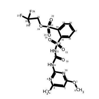 COc1cc(C)nc(NC(=O)NS(=O)(=O)c2ccccc2S(=O)(=O)OCC(F)(F)F)n1